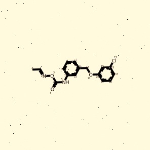 CC=NOC(=O)Nc1cccc(COc2cccc(Cl)c2)c1